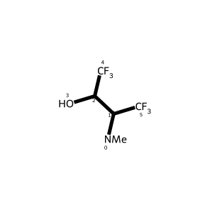 CN[C](C(O)C(F)(F)F)C(F)(F)F